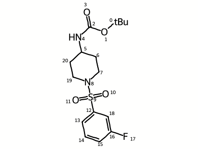 CC(C)(C)OC(=O)NC1CCN(S(=O)(=O)c2cccc(F)c2)CC1